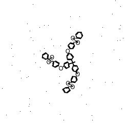 CC(c1ccc(Oc2ccc(S(=O)(=O)c3ccccc3)cc2)cc1)(c1ccc(Oc2ccc(S(=O)(=O)c3ccccc3)cc2)cc1)c1ccc(Oc2ccc(S(=O)(=O)c3ccccc3)cc2)cc1